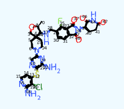 C[C@@H]1OCC2(CCN(c3cnc(Sc4ccnc(N)c4Cl)c(N)n3)CC2)[C@@H]1NCc1ccc2c(c1F)C(=O)N(C1CCC(=O)NC1=O)C2=O